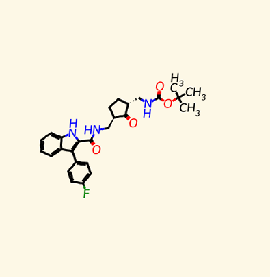 CC(C)(C)OC(=O)NC[C@H]1CC[C@H](CNC(=O)c2[nH]c3ccccc3c2-c2ccc(F)cc2)C1=O